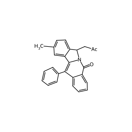 CC(=O)CC1c2ccc(C)cc2-c2c(-c3ccccc3)c3ccccc3c(=O)n21